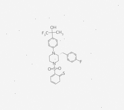 CC(O)(c1ccc(N2CCN(S(=O)(=O)C3=CC=CCC3=S)C[C@H]2Cc2ccc(F)cc2)cc1)C(F)(F)F